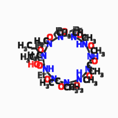 C/C=C/C[C@@H](C)[C@@H](O)[C@H]1C(=O)N[C@@H](CC)C(=O)N(C)CC(=O)N(C)[C@@H](C)C(=O)N[C@@H](C)C(=O)N(C)CC(=O)N[C@@H](C)C(=O)N[C@H](C)C(=O)N(C)[C@@H](CC(C)C)C(=O)N(C)[C@H](CC(C)C)C(=O)N(C)[C@@H](C(C)C)C(=O)N1C